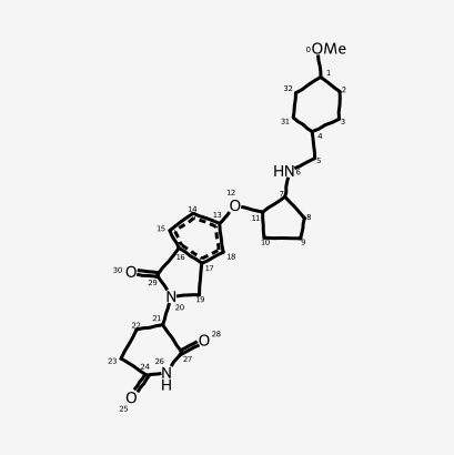 COC1CCC(CNC2CCCC2Oc2ccc3c(c2)CN(C2CCC(=O)NC2=O)C3=O)CC1